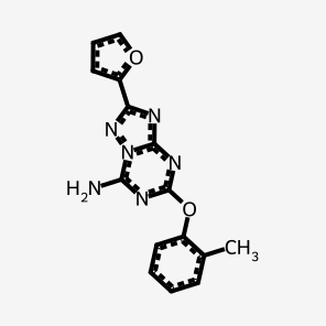 Cc1ccccc1Oc1nc(N)n2nc(-c3ccco3)nc2n1